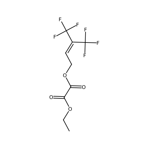 CCOC(=O)C(=O)OCC=C(C(F)(F)F)C(F)(F)F